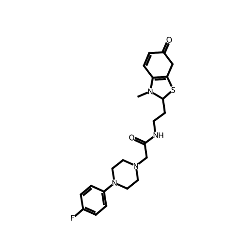 CN1C2=C(CC(=O)C=C2)SC1CCNC(=O)CN1CCN(c2ccc(F)cc2)CC1